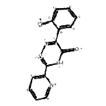 O=c1[nH]c(-c2ccccn2)nnc1-c1ccccc1Cl